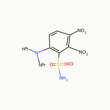 CCCN(CCC)c1ccc([N+](=O)[O-])c([N+](=O)[O-])c1S(N)(=O)=O